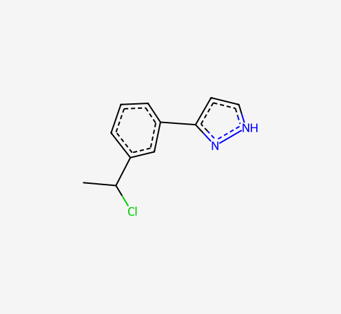 CC(Cl)c1cccc(-c2cc[nH]n2)c1